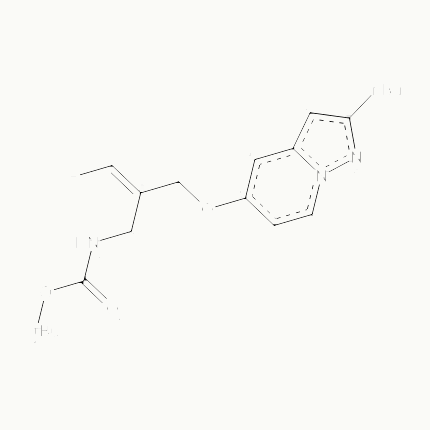 CCCCc1cc2cc(OC/C(=C/F)CNC(=O)OC(C)(C)C)ccn2n1